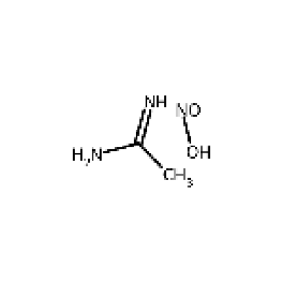 CC(=N)N.O=NO